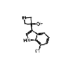 OC1(c2c[nH]c3c(Cl)cccc23)CNC1